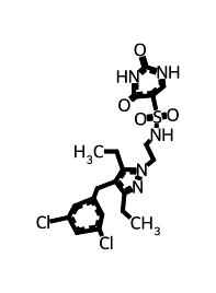 CCc1nn(CCNS(=O)(=O)c2c[nH]c(=O)[nH]c2=O)c(CC)c1Cc1cc(Cl)cc(Cl)c1